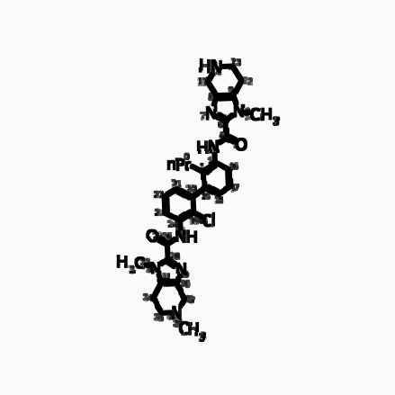 CCCc1c(NC(=O)c2nc3c(n2C)CCNC3)cccc1-c1cccc(NC(=O)c2nc3c(n2C)CCN(C)C3)c1Cl